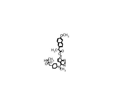 CNS(=O)(=O)C[C@H]1CC[C@H](N(C)c2ncnc3c2ccn3COC(=O)[C@@H](C)c2ccc3cc(OC)ccc3c2)CC1